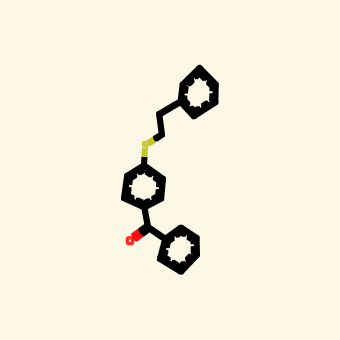 O=C(c1ccccc1)c1ccc(SCCc2ccccc2)cc1